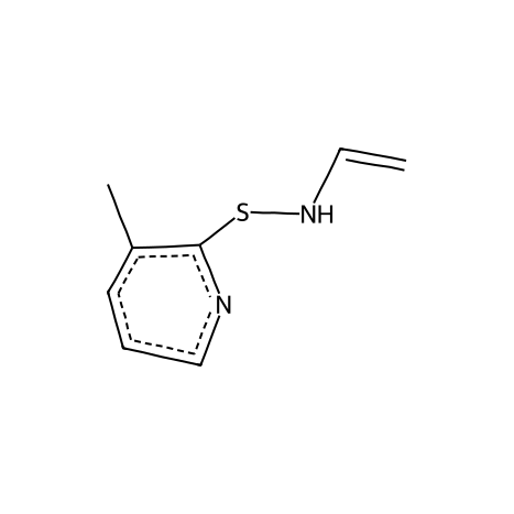 C=CNSc1ncccc1C